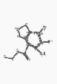 C=C(OCC)c1c(N)c(F)c(Br)c2c1COC2